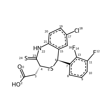 O=C(O)C[C@H]1S[C@H](c2cccc(F)c2F)c2cc(Cl)ccc2NC1=S